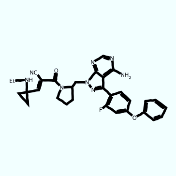 CCNC1(C=C(C#N)C(=O)N2CCCC2Cn2nc(-c3ccc(Oc4ccccc4)cc3F)c3c(N)ncnc32)CC1